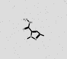 Cc1cc(C(=O)NN)n(C)n1